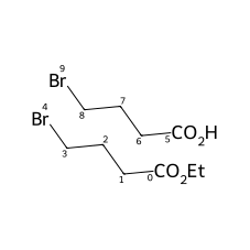 CCOC(=O)CCCBr.O=C(O)CCCBr